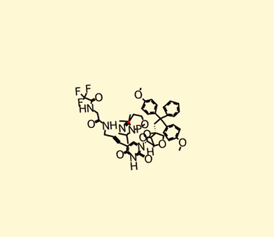 COc1ccc(C(C[C@]23CO[C@@H](C2OP(OCCC#N)N(C(C)C)C(C)C)[C@H](n2cc(C#CCNC(=O)CNC(=O)C(F)(F)F)c(=O)[nH]c2=O)O3)(c2ccccc2)c2ccc(OC)cc2)cc1